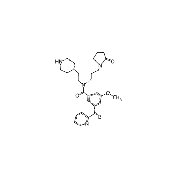 COc1cc(C(=O)c2ccccn2)cc(C(=O)N(CCCN2CCCC2=O)CCC2CCNCC2)c1